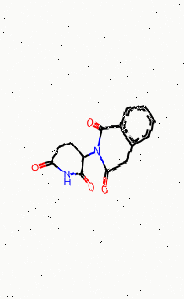 O=C1CCC(N2C(=O)Cc3ccccc3C2=O)C(=O)N1